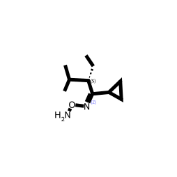 CC[C@H](/C(=N\ON)C1CC1)C(C)C